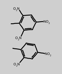 Cc1c([N+](=O)[O-])cc([N+](=O)[O-])cc1[N+](=O)[O-].Cc1ccc([N+](=O)[O-])cc1[N+](=O)[O-]